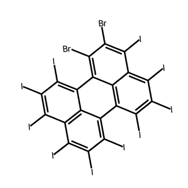 Brc1c(I)c2c(I)c(I)c(I)c3c4c(I)c(I)c(I)c5c(I)c(I)c(I)c(c(c1Br)c23)c54